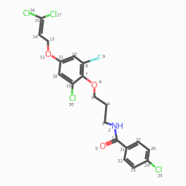 O=C(NCCCOc1c(F)cc(OCC=C(Cl)Cl)cc1Cl)c1ccc(Cl)cc1